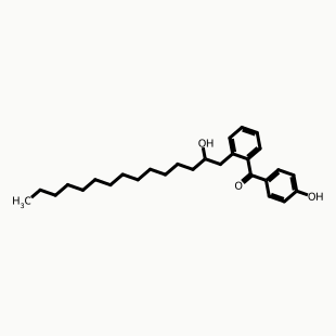 CCCCCCCCCCCCCC(O)Cc1ccccc1C(=O)c1ccc(O)cc1